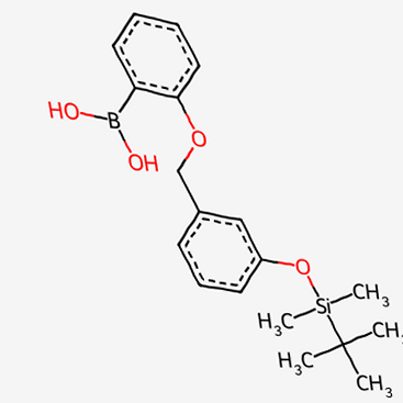 CC(C)(C)[Si](C)(C)Oc1cccc(COc2ccccc2B(O)O)c1